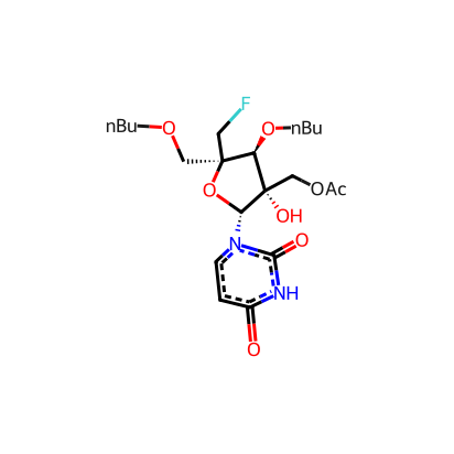 CCCCOC[C@@]1(CF)O[C@@H](n2ccc(=O)[nH]c2=O)[C@](O)(COC(C)=O)[C@@H]1OCCCC